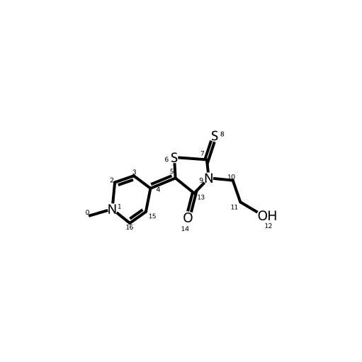 CN1C=CC(=C2SC(=S)N(CCO)C2=O)C=C1